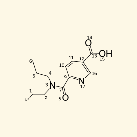 CCCN(CCC)C(=O)c1ccc(C(=O)O)cn1